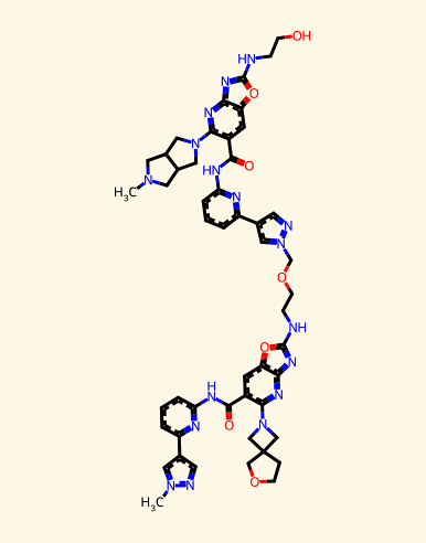 CN1CC2CN(c3nc4nc(NCCO)oc4cc3C(=O)Nc3cccc(-c4cnn(COCCNc5nc6nc(N7CC8(CCOC8)C7)c(C(=O)Nc7cccc(-c8cnn(C)c8)n7)cc6o5)c4)n3)CC2C1